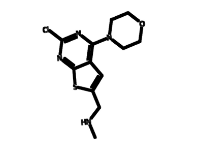 CNCc1cc2c(N3CCOCC3)nc(Cl)nc2s1